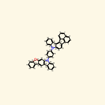 c1cc2c3c(cccc3c1)-c1c-2ccc2c1c1ccccc1n2-c1ccc(-n2c3ccccc3c3cc4c(cc32)oc2ccccc24)cc1